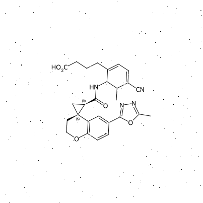 Cc1nnc(-c2ccc3c(c2)[C@]2(CCO3)C[C@H]2C(=O)NC2C(CCCC(=O)O)=CC=C(C#N)C2C)o1